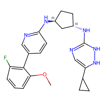 COc1cccc(F)c1-c1ccc(N[C@H]2CC[C@H](NC3=NC=C(C4CC4)NN3)C2)nc1